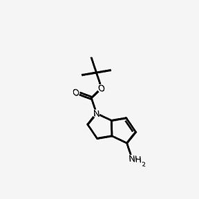 CC(C)(C)OC(=O)N1CCC2C(N)C=CC21